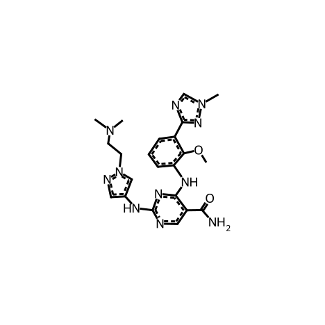 COc1c(Nc2nc(Nc3cnn(CCN(C)C)c3)ncc2C(N)=O)cccc1-c1ncn(C)n1